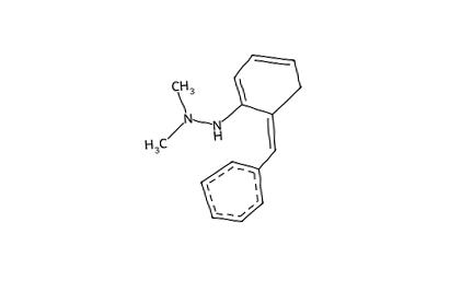 CN(C)NC1=CC=CCC1=Cc1ccccc1